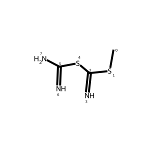 CSC(=N)SC(=N)N